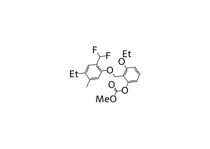 CCOc1cccc(OC(=O)OC)c1COc1cc(C)c(CC)cc1C(F)F